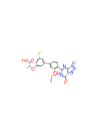 CCOc1cc(-c2cc(F)cc(OC(C)C(=O)O)c2)ccc1-c1nc2[nH]nnc2c(=O)[nH]1